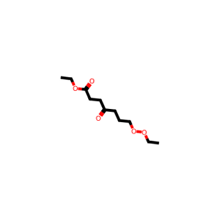 CCOOCCCC(=O)CCC(=O)OCC